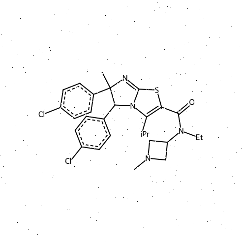 CCN(C(=O)C1=C(C(C)C)N2C(=NC(C)(c3ccc(Cl)cc3)C2c2ccc(Cl)cc2)S1)C1CN(C)C1